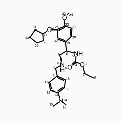 CCOC(=O)NC(CNCc1ccc(N(C)C)cc1)c1ccc(OC)c(OC2CCCC2)c1